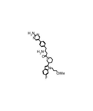 COCCCn1c(C2CCCN(C(=O)C[C@H](N)Cc3ccc(-c4cnc(N)nc4)cc3)C2)cc2ccc(F)cc21